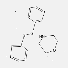 C1COCCN1.c1ccc(SSc2ccccc2)cc1